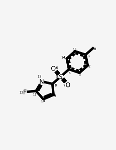 Cc1ccc(S(=O)(=O)C2C=CC(F)=N2)cc1